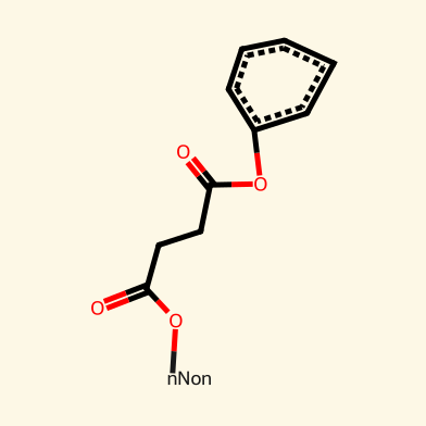 CCCCCCCCCOC(=O)CCC(=O)Oc1ccccc1